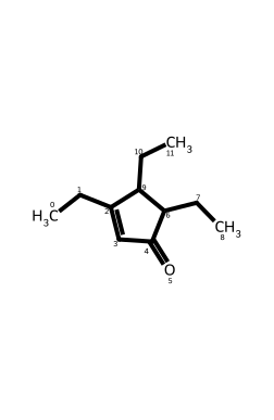 CCC1=CC(=O)C(CC)C1CC